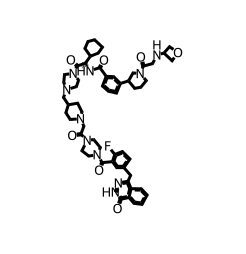 O=C(N[C@@H](C(=O)N1CCN(CC2CCN(CC(=O)N3CCN(C(=O)c4cc(Cc5n[nH]c(=O)c6ccccc56)ccc4F)CC3)CC2)CC1)C1CCCCC1)c1cccc(C2CCCN(C(=O)CNC3COC3)C2)c1